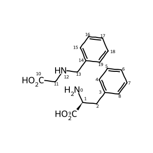 N[C@@H](Cc1ccccc1)C(=O)O.O=C(O)CNCc1ccccc1